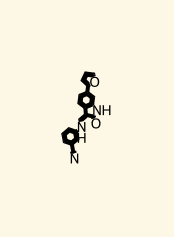 N#Cc1cccc(N/C=C2\C(=O)Nc3cc(-c4ccco4)ccc32)c1